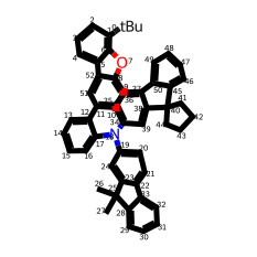 CC(C)(C)c1cccc2c1oc1ccc(-c3ccccc3N(c3ccc4c(c3)C(C)(C)c3ccccc3-4)c3ccc4c(c3)C3(CCCC3)c3ccccc3-4)cc12